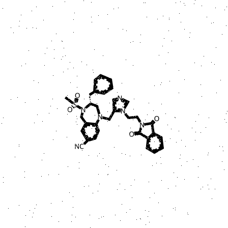 CS(=O)(=O)N1Cc2cc(C#N)ccc2N(Cc2cncn2CCN2C(=O)c3ccccc3C2=O)C[C@H]1Cc1ccccc1